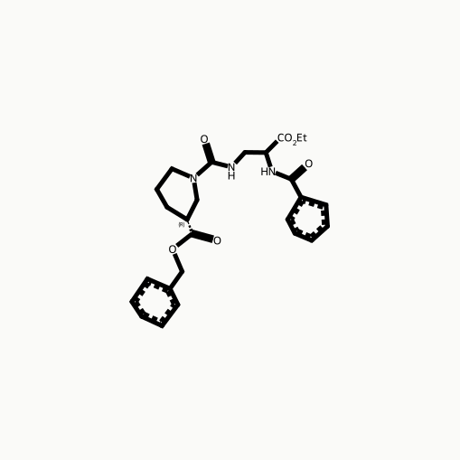 CCOC(=O)C(CNC(=O)N1CCC[C@@H](C(=O)OCc2ccccc2)C1)NC(=O)c1ccccc1